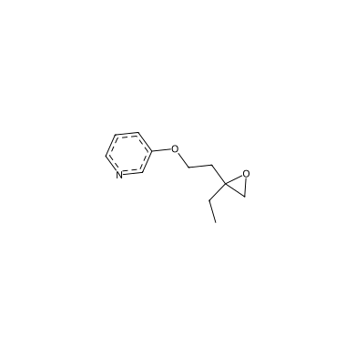 CCC1(CCOc2cccnc2)CO1